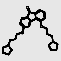 O=C1c2ccc(OCCCN3CCCC3)cc2-c2c(OCCCN3CCCC3)cccc21